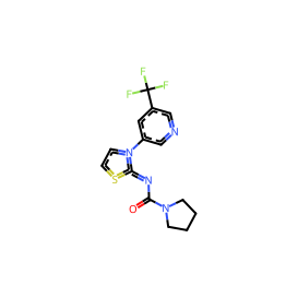 O=C(/N=c1\sccn1-c1cncc(C(F)(F)F)c1)N1CCCC1